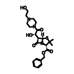 CC1(C)S[C@@H]2[C@H]([C@H](O)C(=O)N3CCN(CCO)CC3)C(=O)N2[C@H]1C(=O)OCc1ccccc1